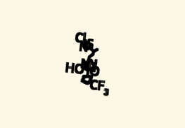 CC(CCc1nc(O)c(-c2cccc(C(F)(F)F)c2)c(=O)n1C)c1cnc(Cl)s1